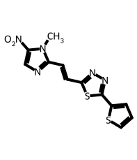 Cn1c([N+](=O)[O-])cnc1C=Cc1nnc(-c2cccs2)s1